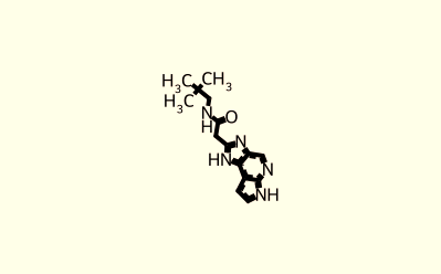 CC(C)(C)CNC(=O)Cc1nc2cnc3[nH]ccc3c2[nH]1